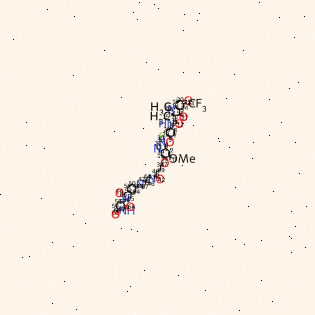 COc1cc2c(Oc3ccc(NC(=O)c4c(C)n(C)c5ccc(OC(F)(F)F)cc5c4=O)cc3F)ncnc2cc1OCCCC(=O)N1CC2(C1)CN(c1ccc3c(c1)CN(C1CCC(=O)NC1=O)C3=O)C2